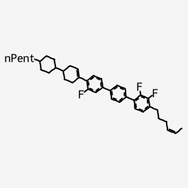 C/C=C\CCCc1ccc(-c2ccc(-c3ccc(C4=CCC(C5CCC(CCCCC)CC5)CC4)c(F)c3)cc2)c(F)c1F